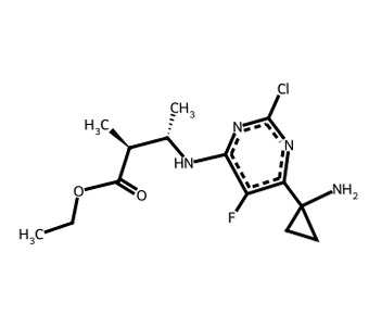 CCOC(=O)[C@@H](C)[C@H](C)Nc1nc(Cl)nc(C2(N)CC2)c1F